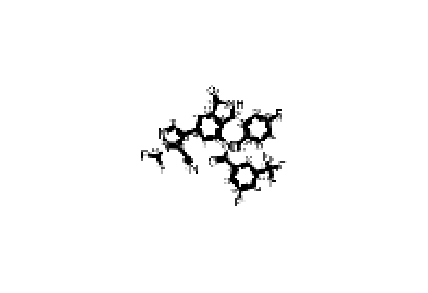 N#Cc1c(-c2cc(NC(=O)c3cc(F)cc(C(F)(F)F)c3)c3c(c2)C(=O)N[C@@H]3c2cc(F)ccc2Cl)cnn1C(F)F